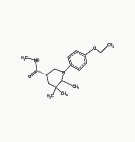 CCOc1ccc(N2C[C@@H](C(=O)NC)CC(C)(C)C2C)cc1